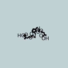 C=C(CCOC(=O)N(C)Cc1cccc(CN(C)C(=O)OCCC(=C)C(=O)O)c1)C(=O)O